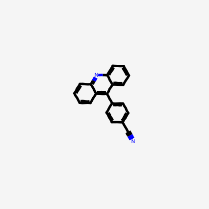 N#Cc1ccc(-c2c3ccccc3nc3ccccc23)cc1